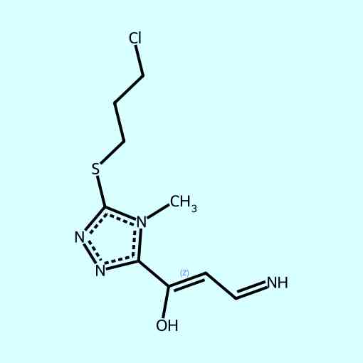 Cn1c(SCCCCl)nnc1/C(O)=C/C=N